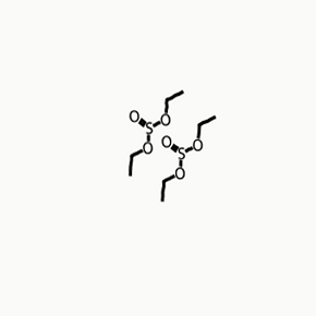 CCOS(=O)OCC.CCOS(=O)OCC